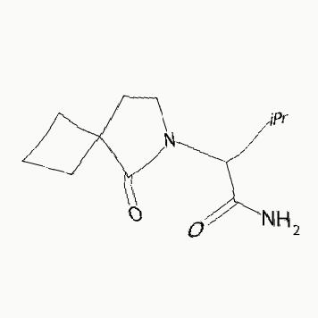 CC(C)C(C(N)=O)N1CCC2(CCC2)C1=O